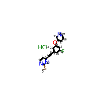 CSc1nccc(C#Cc2cc(F)cc(Oc3cccnc3)c2)n1.Cl